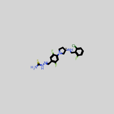 NC(=S)N/N=C/c1cc(F)c(N2CC[C@@H](NCc3c(F)cccc3Cl)C2)cc1F